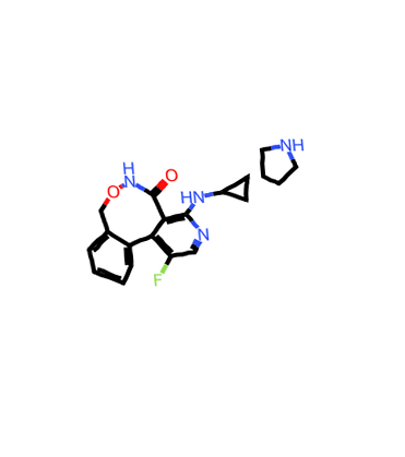 C1CCNC1.O=C1NOCc2ccccc2-c2c(F)cnc(NC3CC3)c21